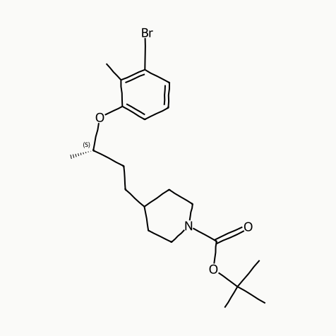 Cc1c(Br)cccc1O[C@@H](C)CCC1CCN(C(=O)OC(C)(C)C)CC1